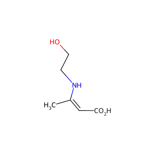 CC(=CC(=O)O)NCCO